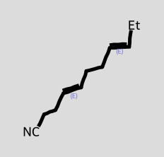 CC/C=C/CC/C=C/CCC#N